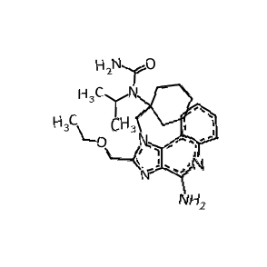 CCOCc1nc2c(N)nc3ccccc3c2n1CC1(N(C(N)=O)C(C)C)CCCCC1